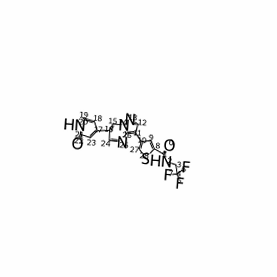 O=C(NCC(F)(F)F)c1cc(-c2cnn3cc(-c4cc[nH]c(=O)c4)cnc23)cs1